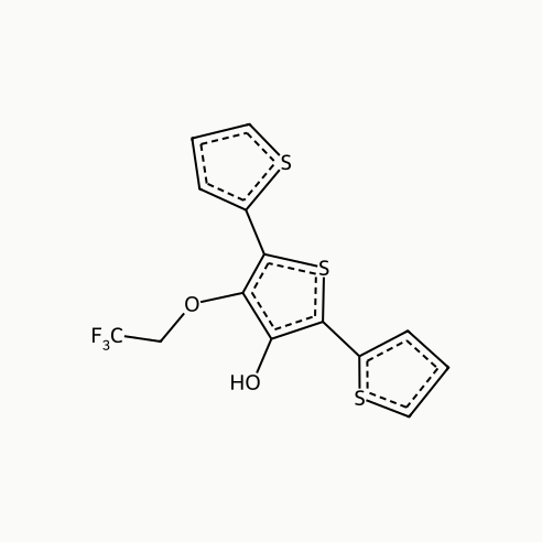 Oc1c(-c2cccs2)sc(-c2cccs2)c1OCC(F)(F)F